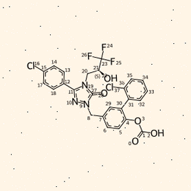 O=C(O)Oc1ccc(Cn2nc(-c3ccc(Cl)cc3)n(C[C@H](O)C(F)(F)F)c2=O)cc1-c1ccccc1Cl